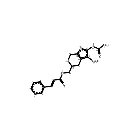 O=C(C=Cc1cccnc1)NCC1Cc2c(sc(NC(=O)C(=O)O)c2C(=O)O)CO1